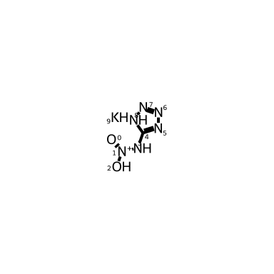 O=[N+](O)Nc1nnn[nH]1.[KH]